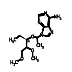 CC[C@H](OC(C)n1cnc2c(N)ncnc21)C(COC)OC